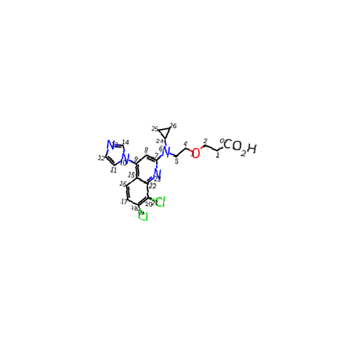 O=C(O)CCOCCN(c1cc(-n2ccnc2)c2ccc(Cl)c(Cl)c2n1)C1CC1